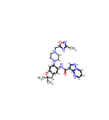 Cc1noc(CN2CCN(c3cc4c(cc3NC(=O)c3cnn5cccnc35)CC(C)(C)O4)CC2)n1